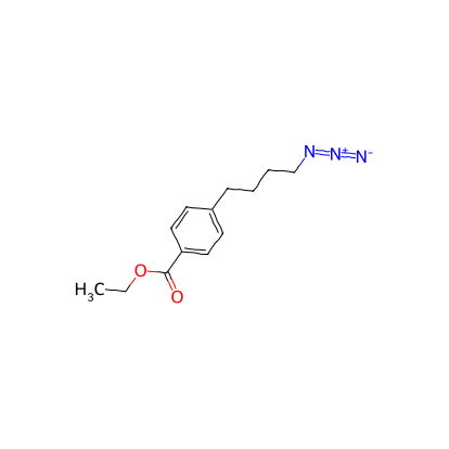 CCOC(=O)c1ccc(CCCCN=[N+]=[N-])cc1